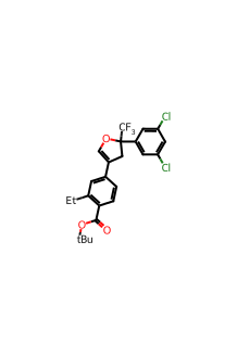 CCc1cc(C2=COC(c3cc(Cl)cc(Cl)c3)(C(F)(F)F)C2)ccc1C(=O)OC(C)(C)C